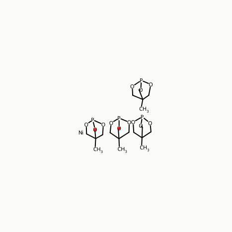 CC12COP(OC1)OC2.CC12COP(OC1)OC2.CC12COP(OC1)OC2.CC12COP(OC1)OC2.[Ni]